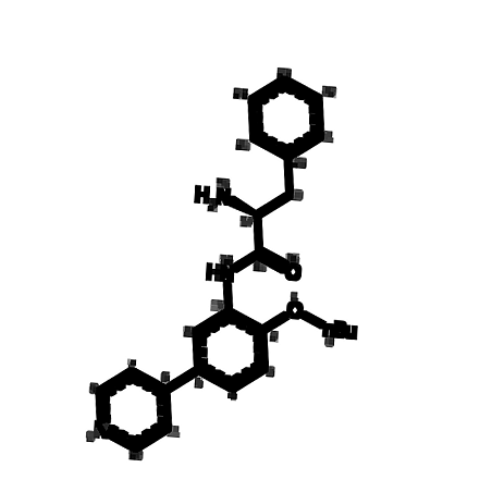 CCCCOc1ccc(-c2ccncc2)cc1NC(=O)[C@@H](N)Cc1ccccc1